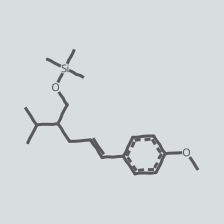 COc1ccc(/C=C/CC(CO[Si](C)(C)C)C(C)C)cc1